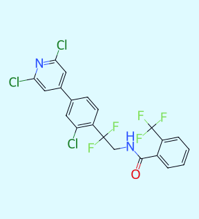 O=C(NCC(F)(F)c1ccc(-c2cc(Cl)nc(Cl)c2)cc1Cl)c1ccccc1C(F)(F)F